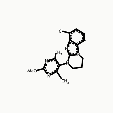 COc1nc(C)c(N2CCCn3c2nc2c(Cl)cc[c]c23)c(C)n1